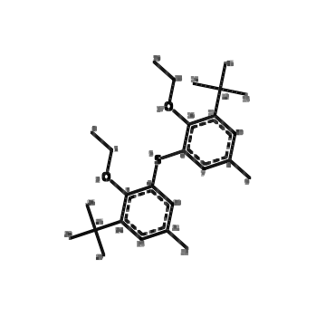 CCOc1c(Sc2cc(C)cc(C(C)(C)C)c2OCC)cc(C)cc1C(C)(C)C